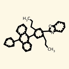 CCCc1cc(-c2c3ccccc3c(-c3ccccc3)c3ccccc23)c(CCC)cc1-c1nc2ccccc2o1